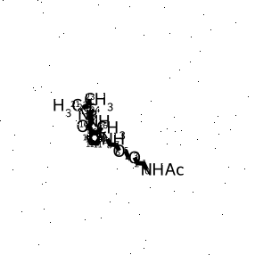 CC(=O)NCCOCCOCCNc1cccc(C(=O)Nc2nc(C)c(C)s2)c1C